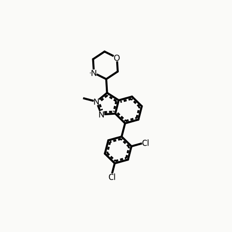 Cn1nc2c(-c3ccc(Cl)cc3Cl)cccc2c1C1COCC[N]1